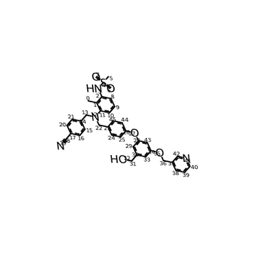 Cc1c(NS(C)(=O)=O)cccc1N(Cc1ccc(C#N)cc1)Cc1ccc(Oc2cc(CO)cc(OCc3cccnc3)c2)cc1